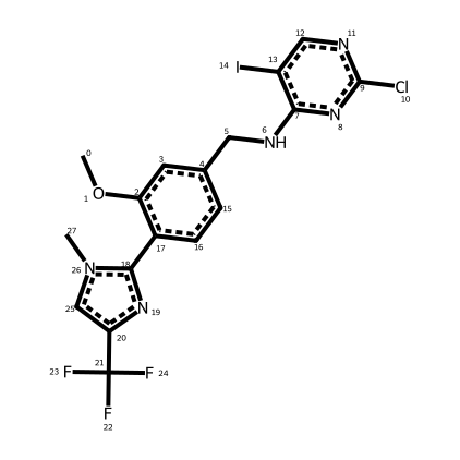 COc1cc(CNc2nc(Cl)ncc2I)ccc1-c1nc(C(F)(F)F)cn1C